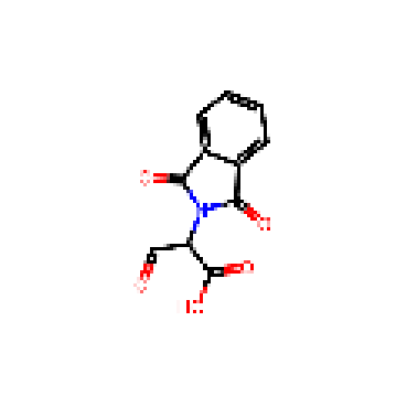 O=CC(C(=O)O)N1C(=O)c2ccccc2C1=O